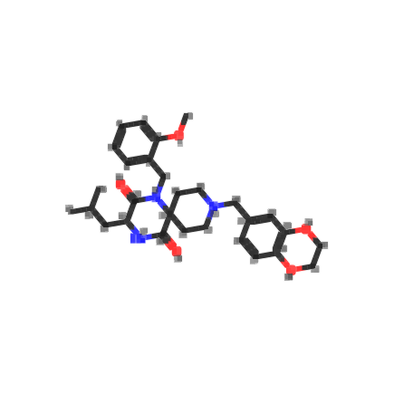 COc1ccccc1CN1C(=O)C(CC(C)C)NC(=O)C12CCN(Cc1ccc3c(c1)OCCO3)CC2